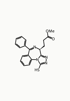 COC(=O)CC[C@@H]1N=C(c2ccccc2)c2ccccc2-n2c(S)nnc21